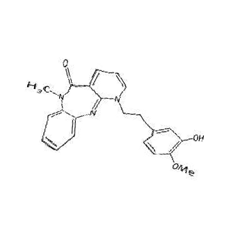 COc1ccc(CCN2C=CC=C3C(=O)N(C)c4ccccc4N=C32)cc1O